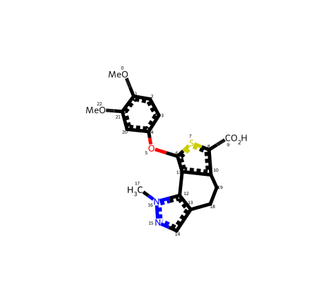 COc1ccc(Oc2sc(C(=O)O)c3c2-c2c(cnn2C)CC3)cc1OC